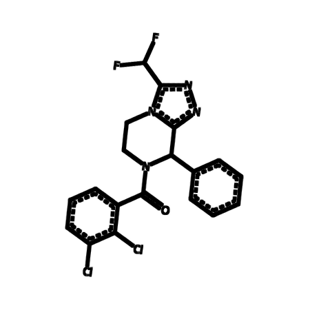 O=C(c1cccc(Cl)c1Cl)N1CCn2c(C(F)F)nnc2C1c1ccccc1